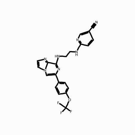 N#Cc1ccc(NCCNc2nc(-c3ccc(OC(F)(F)F)cc3)cn3ccnc23)nc1